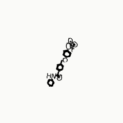 O=C(Nc1ccccc1)c1ccc(COc2ccc(OS(=O)(=O)F)cc2)cc1